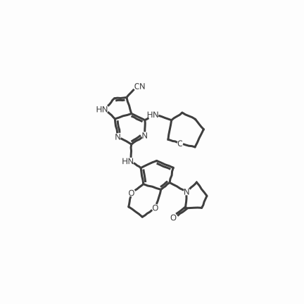 N#Cc1c[nH]c2nc(Nc3ccc(N4CCCC4=O)c4c3OCCO4)nc(NC3CCCCCC3)c12